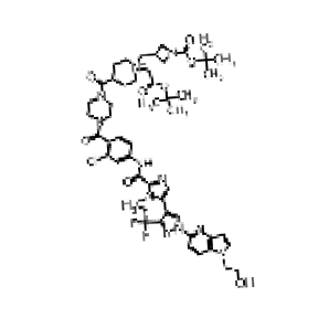 Cn1c(-c2cn(-c3ccc4c(ccn4CCO)n3)nc2C(F)(F)F)cnc1C(=O)Nc1ccc(C(=O)N2CCN(C(=O)C3CC[N+](CC(=O)OC(C)(C)C)(CC4CN(C(=O)OC(C)(C)C)C4)CC3)CC2)c(Cl)c1